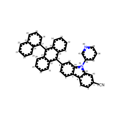 N#Cc1ccc2c3ccc(-c4c5ccccc5c(-c5cccc6ccccc56)c5ccccc45)cc3n(-c3cccnc3)c2c1